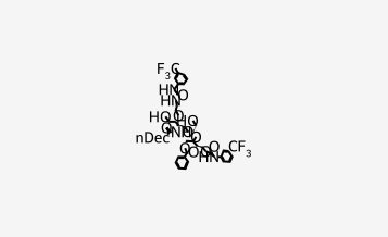 CCCCCCCCCCC(=O)N[C@H](CO[C@H](CO)OC1COC(c2ccccc2)O[C@@H]1COC(=O)Nc1cccc(C(F)(F)F)c1)C(CO)OCCNC(=O)Nc1cccc(C(F)(F)F)c1